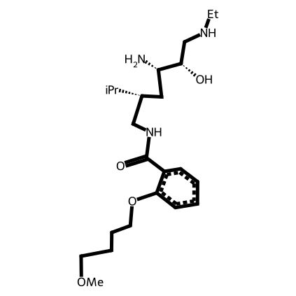 CCNC[C@H](O)[C@@H](N)C[C@H](CNC(=O)c1ccccc1OCCCCOC)C(C)C